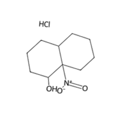 Cl.O=[N+]([O-])C12CCCCC1CCCC2O